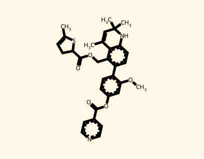 COc1cc(OC(=O)c2ccncc2)ccc1-c1ccc2c(c1COC(=O)C1CC=C(C)S1)C(C)=CC(C)(C)N2